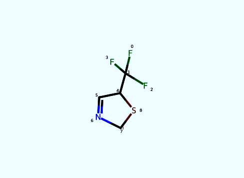 FC(F)(F)C1C=N[C]S1